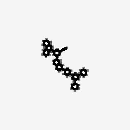 N#Cc1cc(-c2ccc3ccc(-c4ccc(-c5nc(C6=CCCC=C6)cc(-c6ccccc6)n5)cc4)cc3c2)cc(-c2cc3ccccc3c3ccccc23)c1